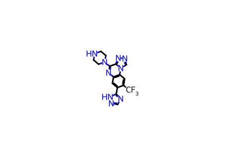 FC(F)(F)c1cc2c(cc1-c1ncn[nH]1)nc(N1CCNCC1)c1nncn12